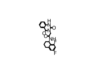 O=C(Cn1c(=O)[nH]c2ccccc2c1=O)N[C@@H]1CCCc2cc(F)cc(F)c21